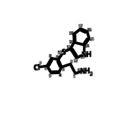 NCCc1ccc(Cl)cc1Sc1c[nH]c2ccccc12